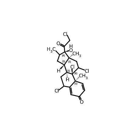 CC1C[C@H]2[C@@H]3CC(Cl)C4=CC(=O)C=C[C@]4(C)[C@@]3(Cl)C(Cl)C[C@]2(C)[C@@]1(O)C(=O)CCl